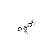 CN(C)C(=O)c1ccc(-c2cc(C(F)(F)F)n(-c3ccccn3)n2)cc1